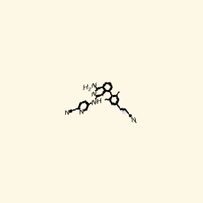 Cc1cc(/C=C/C#N)cc(C)c1-c1cccc2c(N)nc(Nc3ccc(C#N)nc3)cc12